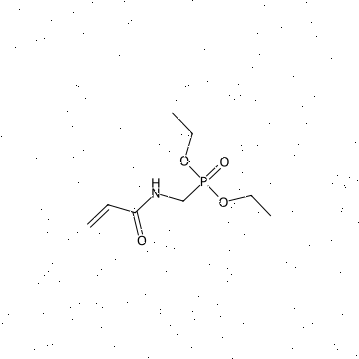 C=CC(=O)NCP(=O)(OCC)OCC